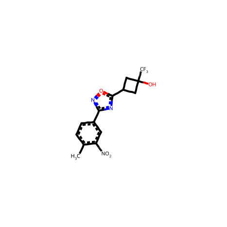 Cc1ccc(-c2noc(C3CC(O)(C(F)(F)F)C3)n2)cc1[N+](=O)[O-]